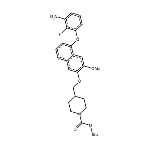 COc1cc2c(Oc3cccc([N+](=O)[O-])c3F)ccnc2cc1OCC1CCN(C(=O)OC(C)(C)C)CC1